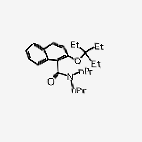 CCCN(CCC)C(=O)c1c(OC(CC)(CC)CC)ccc2ccccc12